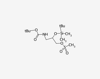 CC(C)(C)OC(=O)NCC(COS(C)(=O)=O)O[Si](C)(C)C(C)(C)C